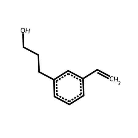 C=Cc1cccc(CCCO)c1